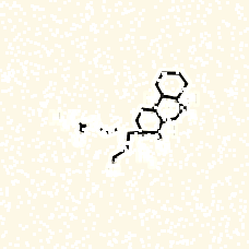 CC(=O)OCC[C@@H](CC=O)[C@@]1(C)CC[C@H]2[C@@H](CC[C@@H]3CCCC[C@@]32C)C1=O